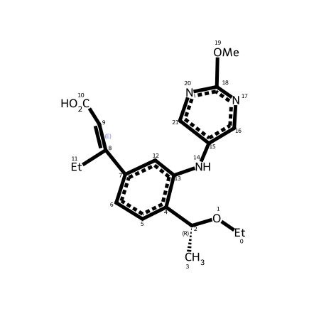 CCO[C@H](C)c1ccc(/C(=C/C(=O)O)CC)cc1Nc1cnc(OC)nc1